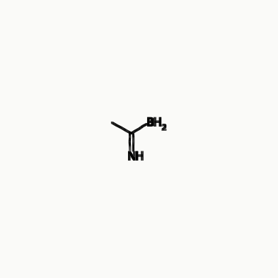 BC(C)=N